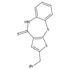 CC(C)Cc1cc2c(s1)Sc1ccccc1NC2=S